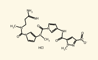 CN(CCC(=N)N)C(=O)n1ccc(N(C)C(=O)n2ccc(NC(=O)c3cc([N+](=O)[O-])nn3C)c2)c1.Cl